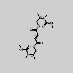 CNC(=O)N(C)[C@H](C)COC(=O)/C=C/C(=O)OC[C@@H](C)N(C)C(=O)NC